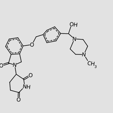 CN1CCN(C(O)c2ccc(COc3cccc4c3CN(C3CCC(=O)NC3=O)C4=O)cc2)CC1